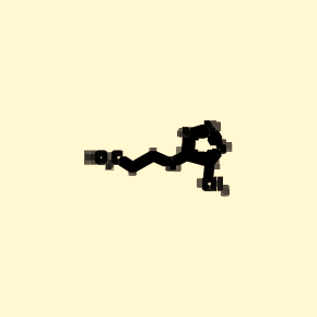 Cc1snnc1SCCC(=O)O